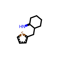 N=C1CCCCC1Cc1cccs1